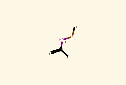 C=C(C)PSC